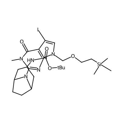 Cn1c(N2C3CCC2CC(NC(=O)OC(C)(C)C)C3)nc2c(c(I)cn2COCC[Si](C)(C)C)c1=O